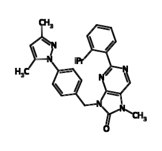 Cc1cc(C)n(-c2ccc(Cn3c(=O)n(C)c4cnc(-c5ccccc5C(C)C)nc43)cc2)n1